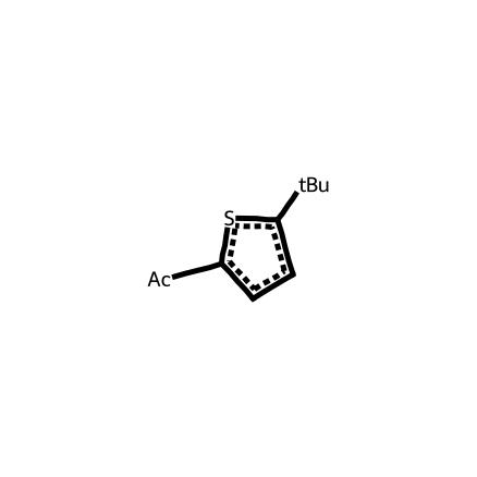 CC(=O)c1ccc(C(C)(C)C)s1